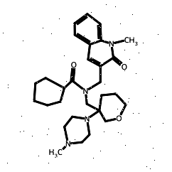 CN1CCN(C2(CN(Cc3cc4ccccc4n(C)c3=O)C(=O)C3CCCCC3)CCCOC2)CC1